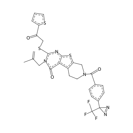 C=C(C)Cn1c(SCC(=O)c2cccs2)nc2sc3c(c2c1=O)CCN(C(=O)c1ccc(C2(C(F)(F)F)N=N2)cc1)C3